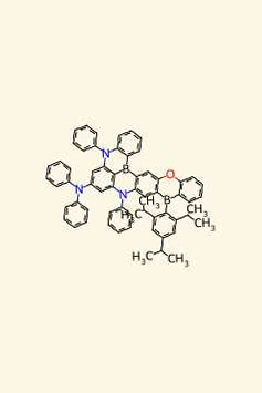 CC(C)c1cc(C(C)C)c(B2c3ccccc3Oc3cc4c(cc32)N(c2ccccc2)c2cc(N(c3ccccc3)c3ccccc3)cc3c2B4c2ccccc2N3c2ccccc2)c(C(C)C)c1